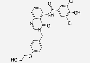 O=C(Nc1cccc2ncn(Cc3ccc(OCCO)cc3)c(=O)c12)c1cc(Cl)c(O)c(Cl)c1